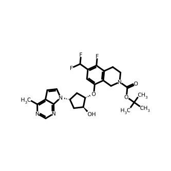 Cc1ncnc2c1ccn2[C@@H]1C[C@H](Oc2cc(C(F)F)c(F)c3c2CN(C(=O)OC(C)(C)C)CC3)[C@@H](O)C1